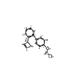 O=POc1ccc(-c2ccccc2C2C=CC2)cc1